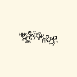 Cc1ccc(NC(=O)CCN2CC3CN(C(=O)c4cccc5c4CNCC5)CC3C2)cc1Cl